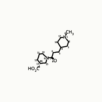 CN1CCC(CCC(=O)N2CCC[C@@H](C(=O)O)C2)CC1